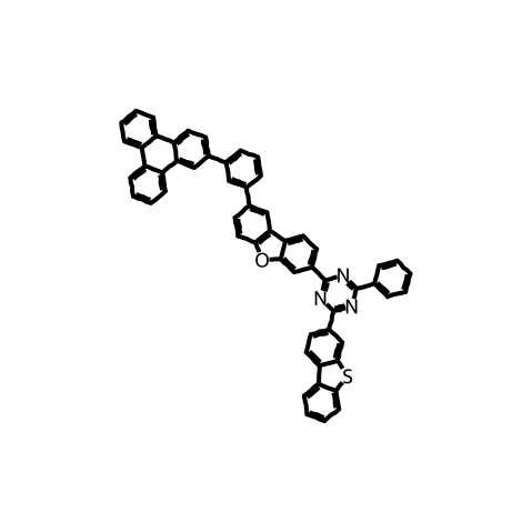 c1ccc(-c2nc(-c3ccc4c(c3)oc3ccc(-c5cccc(-c6ccc7c8ccccc8c8ccccc8c7c6)c5)cc34)nc(-c3ccc4c(c3)sc3ccccc34)n2)cc1